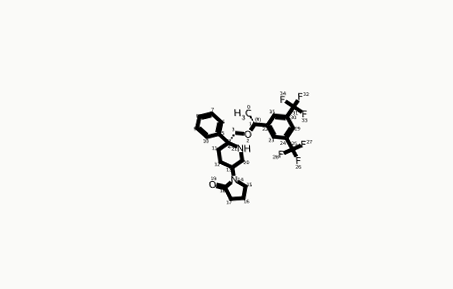 C[C@@H](OC[C@@]1(c2ccccc2)CCC(N2CCCC2=O)CN1)c1cc(C(F)(F)F)cc(C(F)(F)F)c1